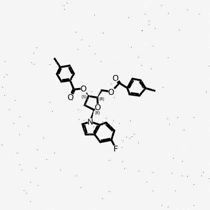 Cc1ccc(C(=O)OC[C@H]2O[C@@H](n3ccc4cc(F)ccc43)C[C@@H]2OC(=O)c2ccc(C)cc2)cc1